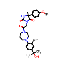 CCCc1cc(C(O)(C(F)(F)F)C(F)(F)F)ccc1N1CCCN(C(=O)CN2C(=O)NC(C)(c3ccc(OC(C)C)cc3)C2=O)CC1